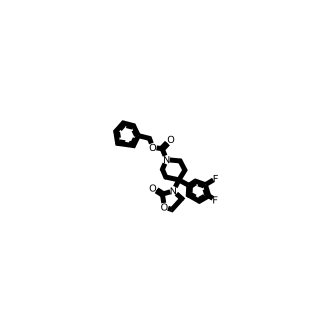 O=C(OCc1ccccc1)N1CCC(c2ccc(F)c(F)c2)(N2CCOC2=O)CC1